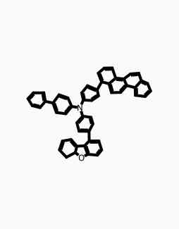 C1=CCC2Oc3cccc(-c4ccc(N(c5ccc(-c6ccccc6)cc5)c5ccc(-c6cccc7c6ccc6c8ccccc8ccc76)cc5)cc4)c3C2=C1